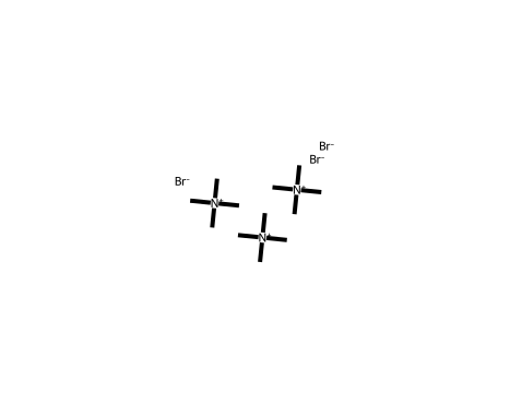 C[N+](C)(C)C.C[N+](C)(C)C.C[N+](C)(C)C.[Br-].[Br-].[Br-]